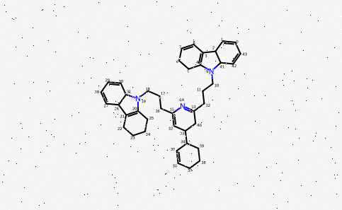 C1=CC2C3=C(CCC=C3)N(CCCC3=NC(CCCN4C5=C(CCCC5)C5C=CC=CC54)=CC(C4C=CCCC4)C3)C2C=C1